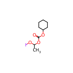 CC(OI)OC(=O)OC1CCCCC1